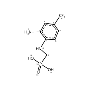 Nc1cc(C(F)(F)F)ccc1NCP(=O)(O)O